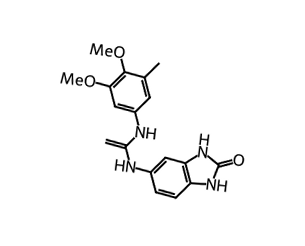 C=C(Nc1cc(C)c(OC)c(OC)c1)Nc1ccc2[nH]c(=O)[nH]c2c1